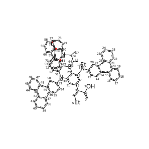 C=C(O)/C(=C\CC)c1cc(N(CC)c2ccc3c4ccccc4c4ccccc4c3c2)c2c(c1)N(c1ccc3c4ccccc4c4ccccc4c3c1)c1ccc(-c3ccccc3)cc1B2[C@H](C)C(C)n1c2ccccc2c2ccccc21